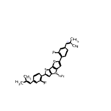 CCCn1c2cc(-c3ccc(C=C(C)C)cc3F)sc2c2sc(-c3ccc(/C=C(/C)C#N)cc3F)cc21